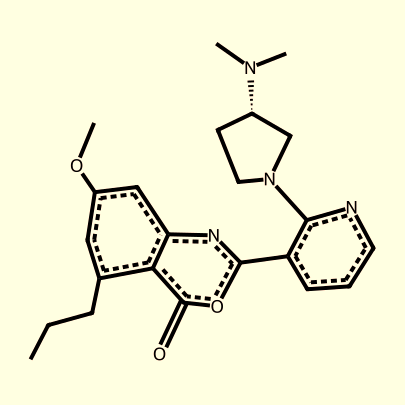 CCCc1cc(OC)cc2nc(-c3cccnc3N3CC[C@H](N(C)C)C3)oc(=O)c12